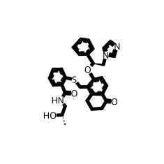 C[C@H](O)CNC(=O)c1ccccc1SCc1c(O[C@H](Cn2ccnc2)c2ccccc2)ccc2c1CCCC2=O